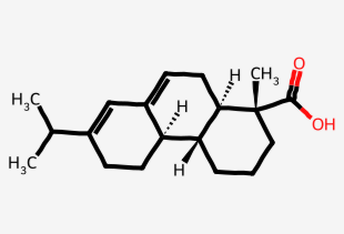 CC(C)C1=CC2=CC[C@@H]3[C@H](CCC[C@@]3(C)C(=O)O)[C@H]2CC1